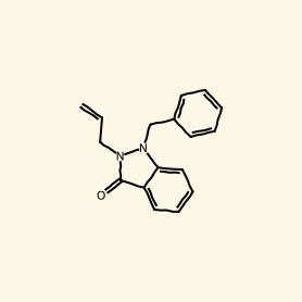 C=CCn1c(=O)c2ccccc2n1Cc1ccccc1